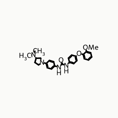 COc1ccccc1Oc1ccc(NC(=O)Nc2ccc(N3CCC(N(C)C)C3)cc2)cc1